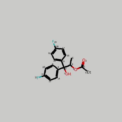 CCC(=O)OC(C)C(O)(c1ccc(F)cc1)c1ccc(F)cc1